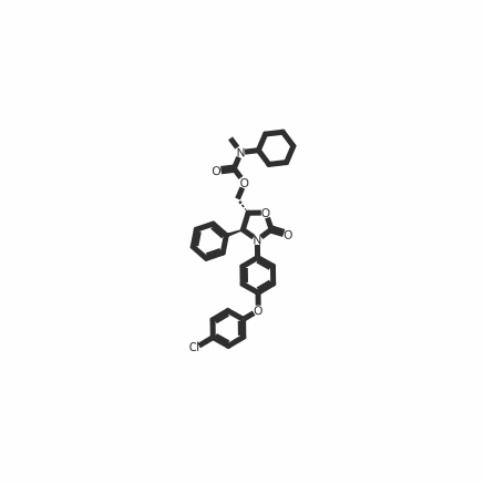 CN(C(=O)OC[C@@H]1OC(=O)N(c2ccc(Oc3ccc(Cl)cc3)cc2)[C@H]1c1ccccc1)C1CCCCC1